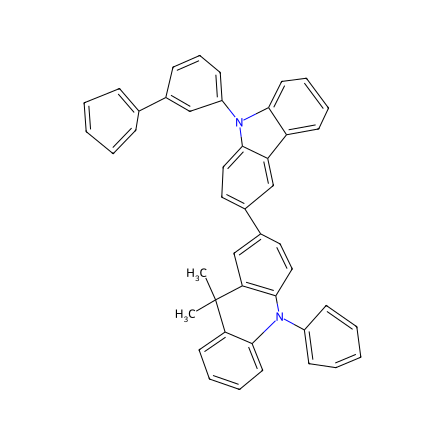 CC1(C)c2ccccc2N(c2ccccc2)c2ccc(-c3ccc4c(c3)c3ccccc3n4-c3cccc(-c4ccccc4)c3)cc21